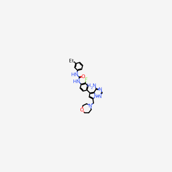 CCc1cccc(NC(=O)Nc2ccc(-c3cc(CN4CCCOCC4)n4ncnc(N)c34)cc2F)c1